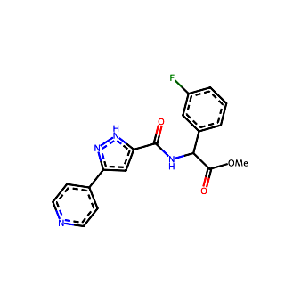 COC(=O)C(NC(=O)c1cc(-c2ccncc2)n[nH]1)c1cccc(F)c1